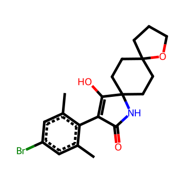 Cc1cc(Br)cc(C)c1C1=C(O)C2(CCC3(CCCO3)CC2)NC1=O